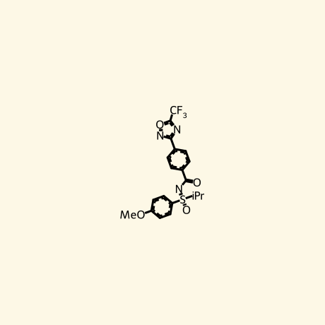 COc1ccc(S(=O)(=NC(=O)c2ccc(-c3noc(C(F)(F)F)n3)cc2)C(C)C)cc1